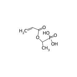 C=CC(=O)OC(C)P(=O)(O)O